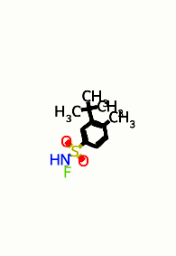 Cc1ccc(S(=O)(=O)NF)cc1C(C)(C)C